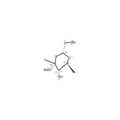 CO[C@]1(C)C[C@H](OC(C)(C)C)O[C@@H](C)[C@@H]1O